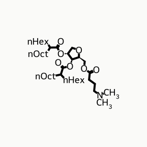 CCCCCCCCC(CCCCCC)C(=O)O[C@@H]1[C@H](COC(=O)CCCN(C)C)OC[C@H]1OC(=O)C(CCCCCC)CCCCCCCC